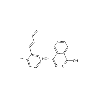 C=CC=Cc1ccccc1C.O=C(O)c1ccccc1C(=O)O